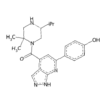 CC(C)C1CN(C(=O)c2cc(-c3ccc(O)cc3)nc3[nH]ncc23)C(C)(C)CN1